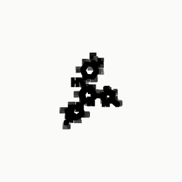 Cc1csc(-c2nc(NC3CCC(F)(F)CC3)cc(N3CC4CC3CN4C)n2)n1